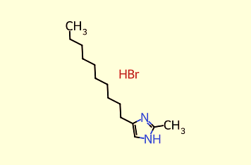 Br.CCCCCCCCCCc1c[nH]c(C)n1